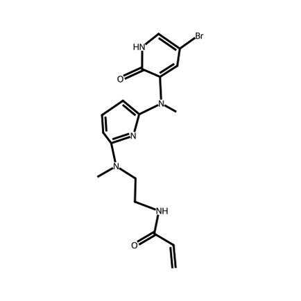 C=CC(=O)NCCN(C)c1cccc(N(C)c2cc(Br)c[nH]c2=O)n1